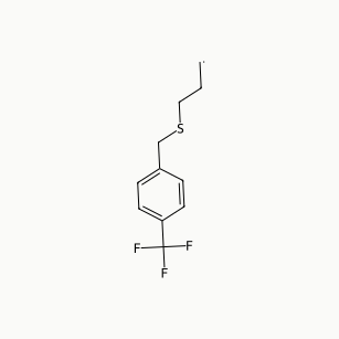 [CH2]CCSCc1ccc(C(F)(F)F)cc1